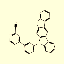 N#Cc1cc(-c2cccc(-n3c4ccccc4c4cc5c(cc43)oc3ccccc35)c2)ccn1